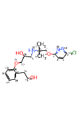 CC(C)(COc1ccc(Cl)nn1)NCC(O)COc1ccccc1CCO